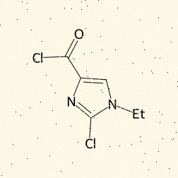 CCn1cc(C(=O)Cl)nc1Cl